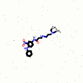 CCN(CC)CCCNCCC(=O)Nc1ccc(Nc2ccccc2)c([N+](=O)[O-])c1